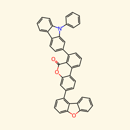 O=c1oc2cc(-c3cccc4oc5ccccc5c34)ccc2c2cccc(-c3ccc4c5ccccc5n(-c5ccccc5)c4c3)c12